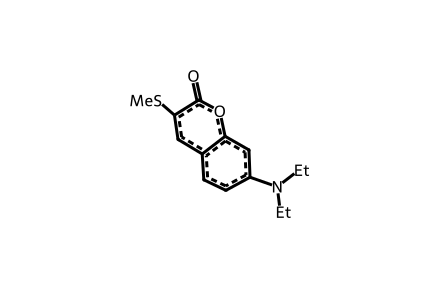 CCN(CC)c1ccc2cc(SC)c(=O)oc2c1